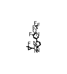 CC1(F)CC1c1nnc2ccc(-c3cnc(OCC(F)(F)F)c(F)c3)nn12